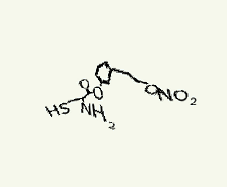 NC(CS)C(=O)Oc1cccc(CCCO[N+](=O)[O-])c1